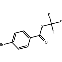 O=C(SC(F)(F)F)c1ccc(Br)cc1